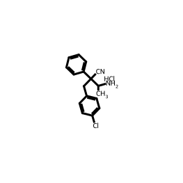 CC(N)C(C#N)(Cc1ccc(Cl)cc1)c1ccccc1.Cl